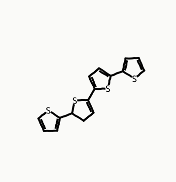 C1=C(c2ccc(-c3cccs3)s2)SC(c2cccs2)C1